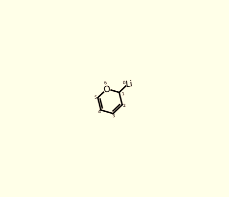 [Li][CH]1C=CC=CO1